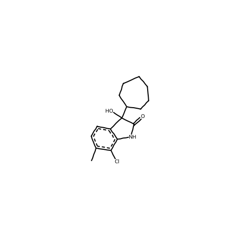 Cc1ccc2c(c1Cl)NC(=O)C2(O)C1CCCCCC1